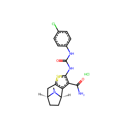 CN1[C@H]2CC[C@@H]1c1c(sc(NC(=O)Nc3ccc(Cl)cc3)c1C(N)=O)C2.Cl